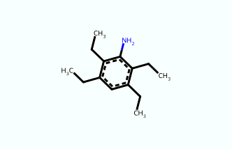 CCc1cc(CC)c(CC)c(N)c1CC